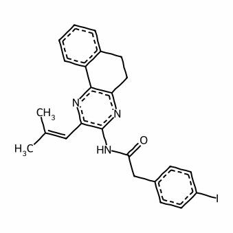 CC(C)=Cc1nc2c(nc1NC(=O)Cc1ccc(I)cc1)CCc1ccccc1-2